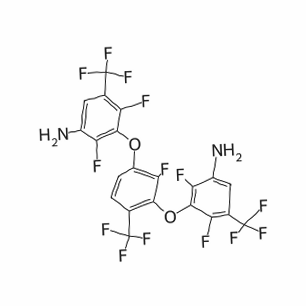 Nc1cc(C(F)(F)F)c(F)c(Oc2ccc(C(F)(F)F)c(Oc3c(F)c(N)cc(C(F)(F)F)c3F)c2F)c1F